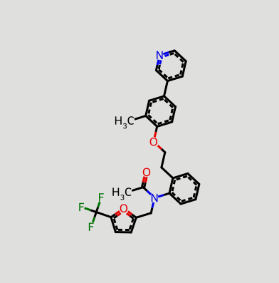 CC(=O)N(Cc1ccc(C(F)(F)F)o1)c1ccccc1CCOc1ccc(-c2cccnc2)cc1C